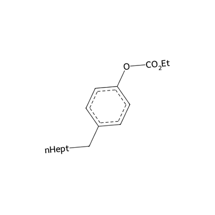 CCCCCCCCc1ccc(OC(=O)OCC)cc1